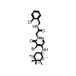 C[C@@H]1[C@@H](C)C(C)(C)[C@@H](C)C[C@H]1Nc1cnn(CC(=O)NCc2ccccc2Cl)c(=O)c1Br